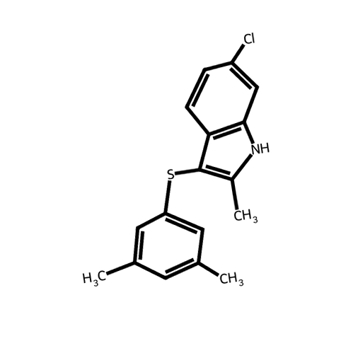 Cc1cc(C)cc(Sc2c(C)[nH]c3cc(Cl)ccc23)c1